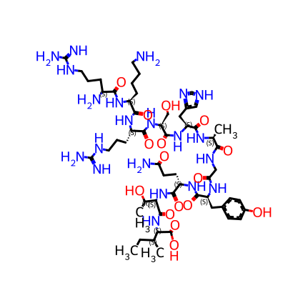 CC[C@H](C)[C@H](NC(=O)[C@@H](NC(=O)[C@H](CCC(N)=O)NC(=O)[C@H](Cc1ccc(O)cc1)NC(=O)CNC(=O)[C@H](C)NC(=O)[C@H](Cc1c[nH]cn1)NC(=O)[C@H](CO)NC(=O)[C@H](CCCNC(=N)N)NC(=O)[C@H](CCCCN)NC(=O)[C@@H](N)CCCNC(=N)N)[C@@H](C)O)C(=O)O